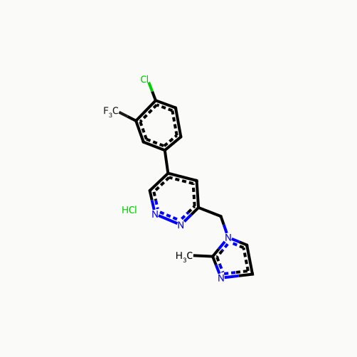 Cc1nccn1Cc1cc(-c2ccc(Cl)c(C(F)(F)F)c2)cnn1.Cl